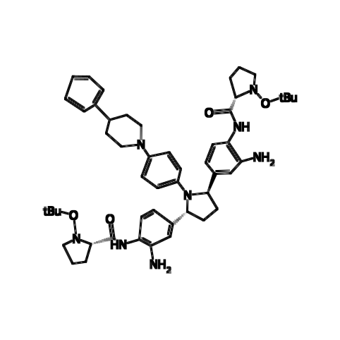 CC(C)(C)ON1CCC[C@H]1C(=O)Nc1ccc([C@H]2CC[C@H](c3ccc(NC(=O)[C@@H]4CCCN4OC(C)(C)C)c(N)c3)N2c2ccc(N3CCC(c4ccccc4)CC3)cc2)cc1N